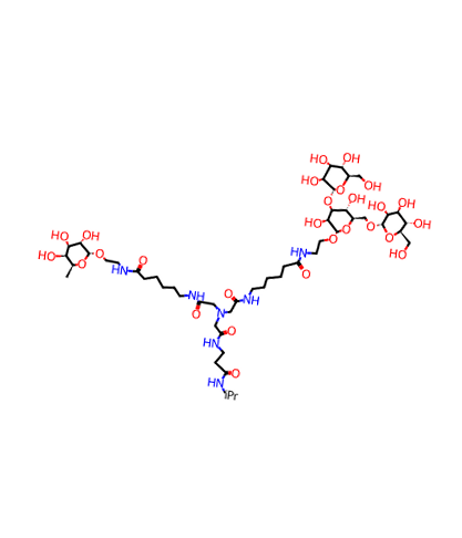 CC(C)NC(=O)CCNC(=O)CN(CC(=O)NCCCCCC(=O)NCCO[C@@H]1O[C@@H](C)[C@@H](O)[C@@H](O)[C@@H]1O)CC(=O)NCCCCCC(=O)NCCO[C@H]1O[C@H](CO[C@H]2O[C@H](CO)[C@@H](O)[C@H](O)[C@@H]2O)[C@@H](O)[C@H](O[C@H]2O[C@H](CO)[C@@H](O)[C@H](O)[C@@H]2O)[C@@H]1O